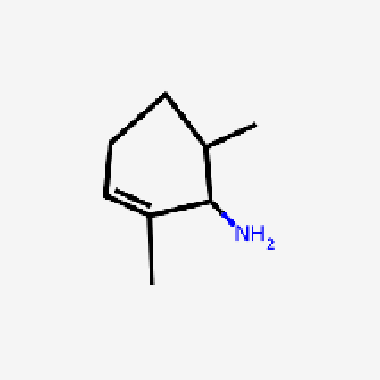 CC1=CCCC(C)C1N